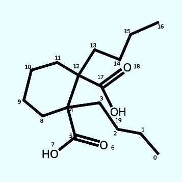 CCCCC1(C(=O)O)CCCCC1(CCCC)C(=O)O